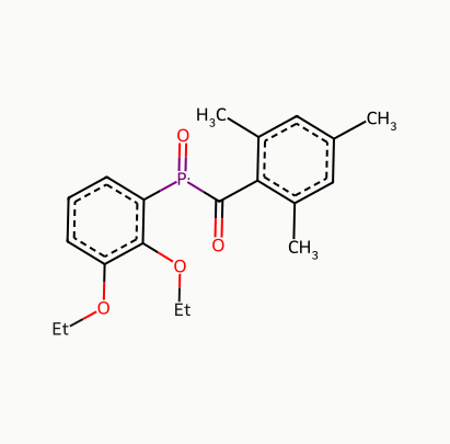 CCOc1cccc([P](=O)C(=O)c2c(C)cc(C)cc2C)c1OCC